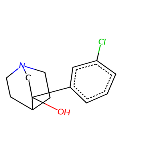 OC1(c2cccc(Cl)c2)CN2CCC1CC2